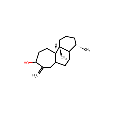 C=C1CC2CCC3[C@@H](C)CCC[C@@]3(C)[C@@H]2CCC1O